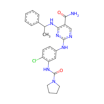 CC(Nc1nc(Nc2ccc(Cl)c(NC(=O)N3CCCC3)c2)ncc1C(N)=O)c1ccccc1